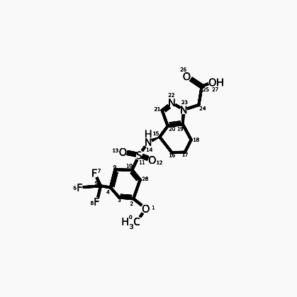 COc1cc(C(F)(F)F)cc(S(=O)(=O)N[C@@H]2CCCc3c2cnn3CC(=O)O)c1